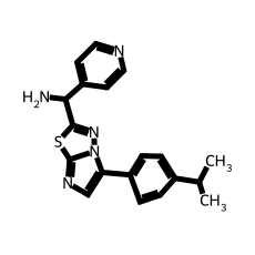 CC(C)c1ccc(-c2cnc3sc(C(N)c4ccncc4)nn23)cc1